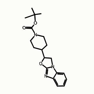 CC(C)(C)OC(=O)N1CCC(C2Cn3c(nc4ccccc43)O2)CC1